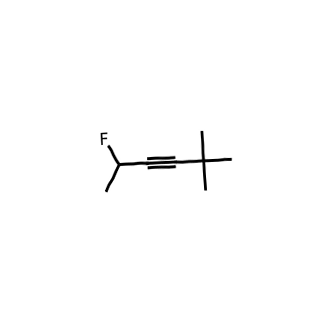 CC(F)C#CC(C)(C)C